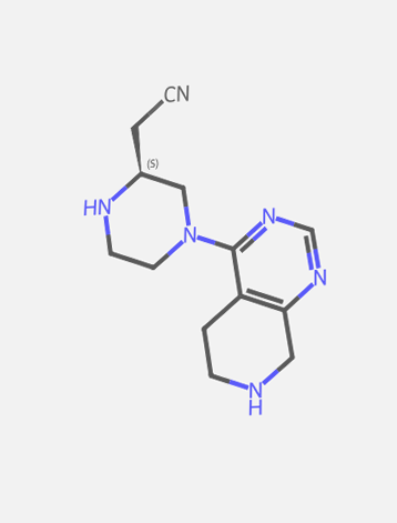 N#CC[C@H]1CN(c2ncnc3c2CCNC3)CCN1